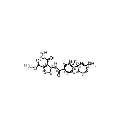 COC(=O)C1=C(C(=O)OC)C(NC(=O)c2ccc(C3(C)CCSC(N)=N3)cc2)CS1